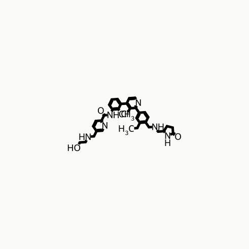 CCc1cc(-c2nccc(-c3cccc(NC(=O)c4ccc(CNCCO)cn4)c3C)c2Cl)ccc1CNCC1CCC(=O)N1